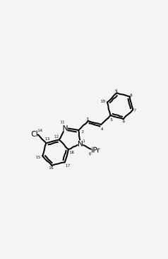 CC(C)n1c(C=Cc2ccccc2)nc2c(Cl)cccc21